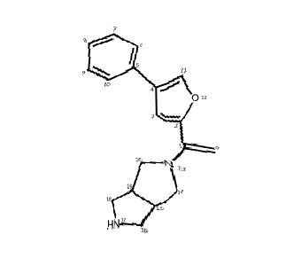 C=C(c1cc(-c2ccccc2)co1)N1CC2CNCC2C1